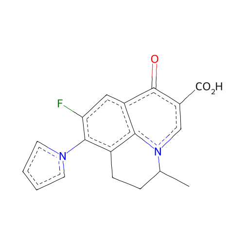 CC1CCc2c(-n3cccc3)c(F)cc3c(=O)c(C(=O)O)cn1c23